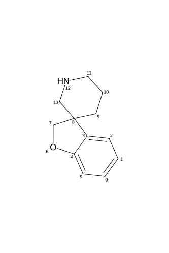 c1ccc2c(c1)OCC21CCCNC1